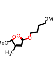 COCCCCOC(=O)C=C(C)C(=O)OC